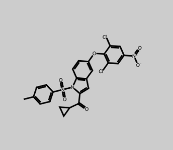 Cc1ccc(S(=O)(=O)n2c(C(=O)C3CC3)cc3cc(Oc4c(Cl)cc([N+](=O)[O-])cc4Cl)ccc32)cc1